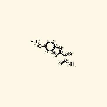 COc1ccc2nc(C(Br)C(N)=O)sc2c1